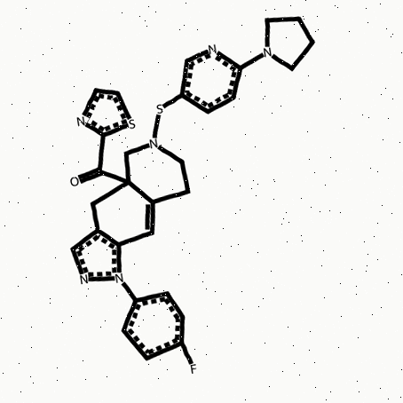 O=C(c1nccs1)C12Cc3cnn(-c4ccc(F)cc4)c3C=C1CCN(Sc1ccc(N3CCCC3)nc1)C2